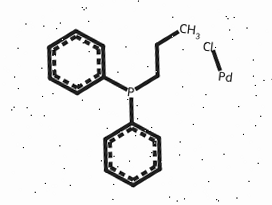 CCCP(c1ccccc1)c1ccccc1.[Cl][Pd]